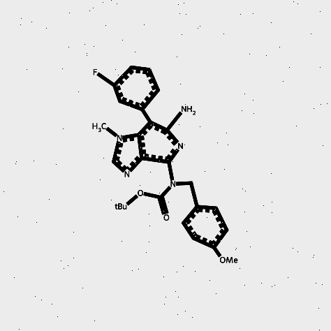 COc1ccc(CN(C(=O)OC(C)(C)C)c2nc(N)c(-c3cccc(F)c3)c3c2ncn3C)cc1